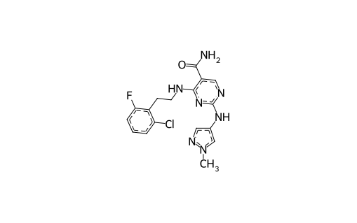 Cn1cc(Nc2ncc(C(N)=O)c(NCCc3c(F)cccc3Cl)n2)cn1